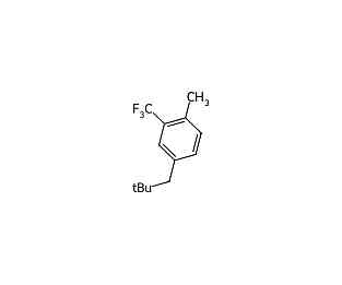 Cc1ccc(CC(C)(C)C)cc1C(F)(F)F